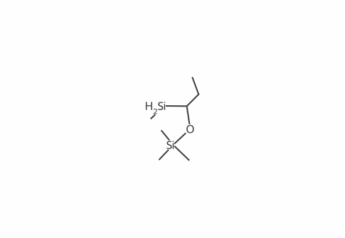 CCC(O[Si](C)(C)C)[SiH2]C